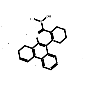 C=C(B(O)O)C1=C(c2c(C)c3c(c4ccccc24)C=CCC3)CCCC1